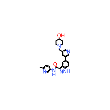 Cc1ccc(NC(=O)c2n[nH]c3ccc(-c4cncc(CN5CCC(O)CC5)c4)cc23)cn1